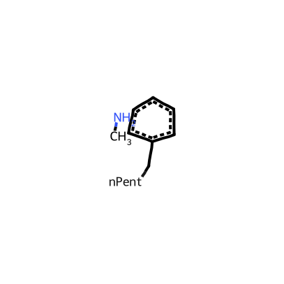 CCCCCCc1ccccc1.CN